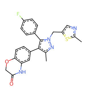 Cc1ncc(Cn2nc(C)c(-c3ccc4c(c3)NC(=O)CO4)c2-c2ccc(F)cc2)s1